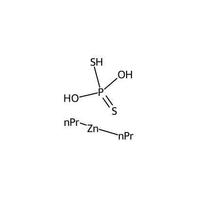 CC[CH2][Zn][CH2]CC.OP(O)(=S)S